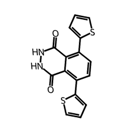 O=c1[nH][nH]c(=O)c2c(-c3cccs3)ccc(-c3cccs3)c12